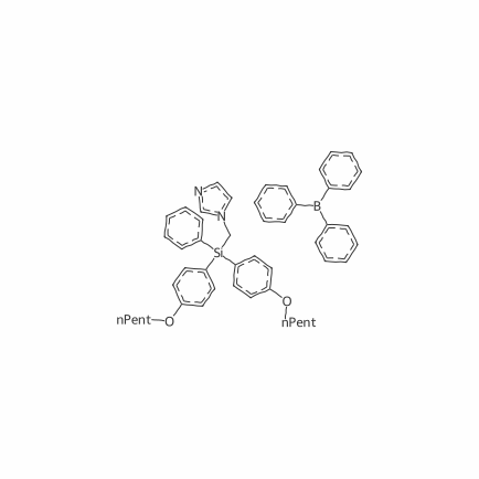 CCCCCOc1ccc([Si](Cn2ccnc2)(c2ccccc2)c2ccc(OCCCCC)cc2)cc1.c1ccc(B(c2ccccc2)c2ccccc2)cc1